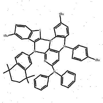 CC(C)(C)c1ccc(N2c3ccc(C(C)(C)C)cc3B3c4sc5ccc(C(C)(C)C)cc5c4N(c4ccc5c(c4)C(C)(C)CCC5(C)C)c4nc(N(c5ccccc5)c5ccccc5)cc2c43)cc1